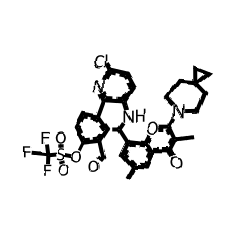 Cc1cc(C(C)Nc2ccc(Cl)nc2-c2ccc(OS(=O)(=O)C(F)(F)F)c(C=O)c2)c2oc(N3CCC4(CC3)CC4)c(C)c(=O)c2c1